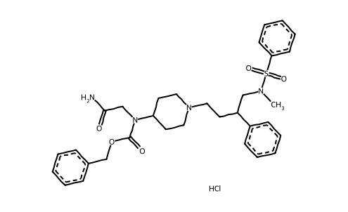 CN(CC(CCN1CCC(N(CC(N)=O)C(=O)OCc2ccccc2)CC1)c1ccccc1)S(=O)(=O)c1ccccc1.Cl